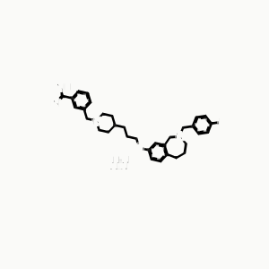 Cl.Cl.Cl.N=C(N)c1cccc(CN2CCC(CCCOc3ccc4c(c3)CN(Cc3ccc(F)cc3)CCC4)CC2)c1